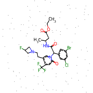 CCOC(=O)CC(C)NC(=O)C(c1cc(Cl)cc(Br)c1)n1cc(CCN2CC(F)C2)c(C(F)(F)F)cc1=O